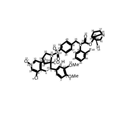 COc1ccc([C@H](Cc2c(Cl)c[n+]([O-])cc2Cl)[C@]2(C(=O)O)CCCN2S(=O)(=O)c2ccc(CN(C(=O)O[C@H]3CN4CCC3CC4)c3ccccc3F)cc2)cc1OC